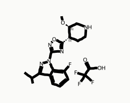 CO[C@@H]1CNCC[C@@H]1c1nc(-n2nc(C(C)C)c3cccc(F)c32)no1.O=C(O)C(F)(F)F